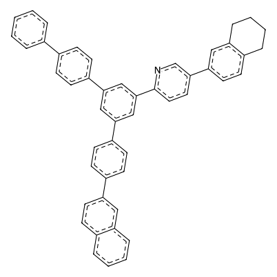 c1ccc(-c2ccc(-c3cc(-c4ccc(-c5ccc6ccccc6c5)cc4)cc(-c4ccc(-c5ccc6c(c5)CCCC6)cn4)c3)cc2)cc1